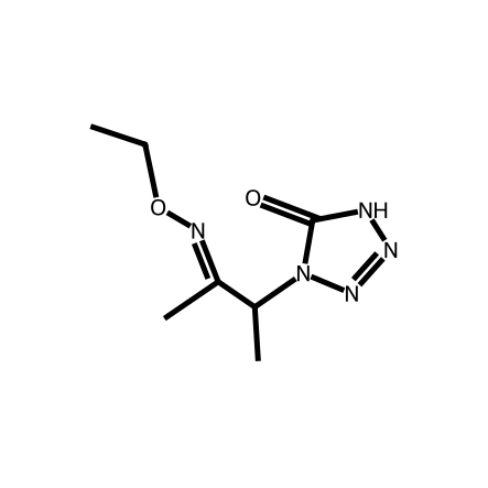 CCON=C(C)C(C)n1nn[nH]c1=O